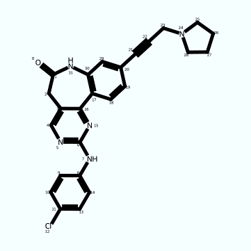 O=C1Cc2cnc(Nc3ccc(Cl)cc3)nc2-c2ccc(C#CCN3CCCC3)cc2N1